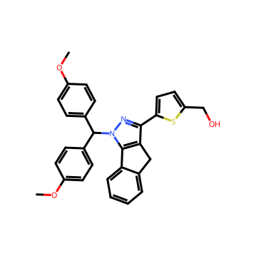 COc1ccc(C(c2ccc(OC)cc2)n2nc(-c3ccc(CO)s3)c3c2-c2ccccc2C3)cc1